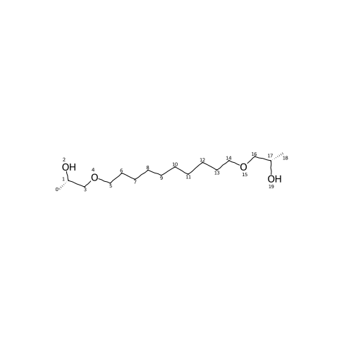 C[C@H](O)COCCCCCCCCCCOC[C@H](C)O